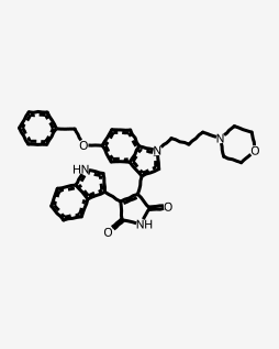 O=C1NC(=O)C(c2cn(CCCN3CCOCC3)c3ccc(OCc4ccccc4)cc23)=C1c1c[nH]c2ccccc12